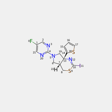 Fc1cnc(N2C[C@H]3CSC(I)=N[C@@]3(c3cccs3)C2)nc1